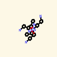 N#Cc1ccc(-c2cccc(-c3nc(-c4ccc(-c5cccc(C#N)c5)cc4-n4c5ccccc5c5ccccc54)nc(-c4ccc(-c5cccc(C#N)c5)cc4-n4c5ccccc5c5ccccc54)n3)c2)cc1